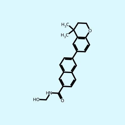 CC1(C)CCOc2ccc(-c3ccc4cc(C(=O)NCO)ccc4c3)cc21